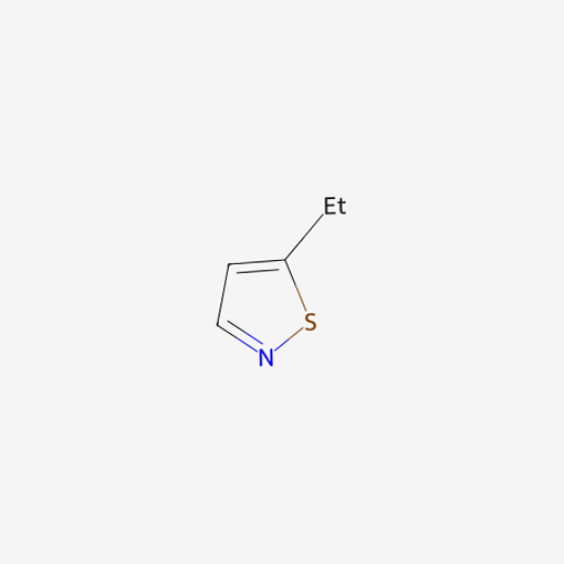 [CH2]Cc1ccns1